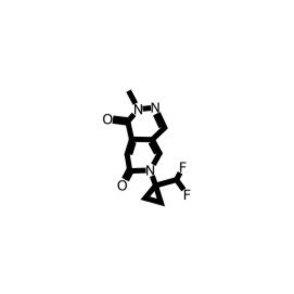 Cn1ncc2cn(C3(C(F)F)CC3)c(=O)cc2c1=O